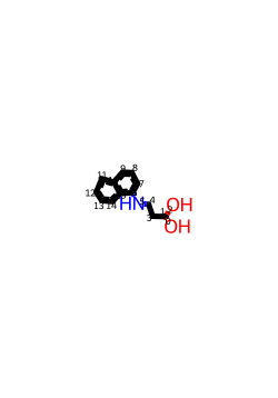 OC(O)CCNc1cccc2ccccc12